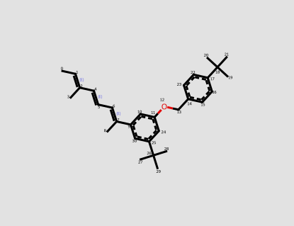 C/C=C(C)/C=C/C=C(\C)c1cc(OCc2ccc(C(C)(C)C)cc2)cc(C(C)(C)C)c1